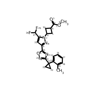 COC(=O)C1CC(n2nc(-c3nc(C4(c5ccccc5C)CC4)no3)cc2C(F)F)C1